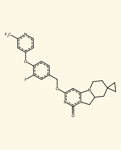 O=c1nc(OCc2ccc(Oc3ccnc(C(F)(F)F)c3)c(F)c2)cc2n1CC1CC3(CCN21)CC3